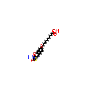 O=C(O)CCCCCCCCCCOc1ccc2cc(/C=C3/SC(=O)NC3=O)ccc2c1